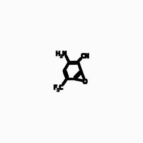 N#Cc1c(N)cc(C(F)(F)F)c2c1O2